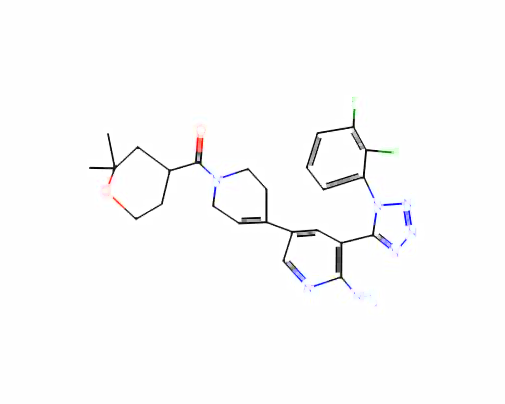 CC1(C)CC(C(=O)N2CC=C(c3cnc(N)c(-c4nnnn4-c4cccc(F)c4F)c3)CC2)CCO1